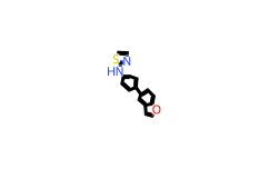 c1csc(Nc2ccc(-c3ccc4occc4c3)cc2)n1